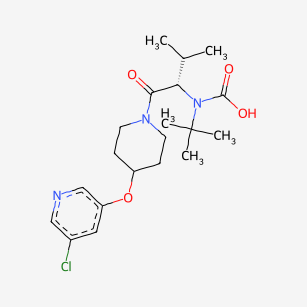 CC(C)[C@@H](C(=O)N1CCC(Oc2cncc(Cl)c2)CC1)N(C(=O)O)C(C)(C)C